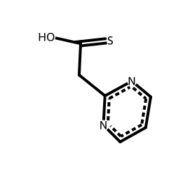 OC(=S)Cc1ncccn1